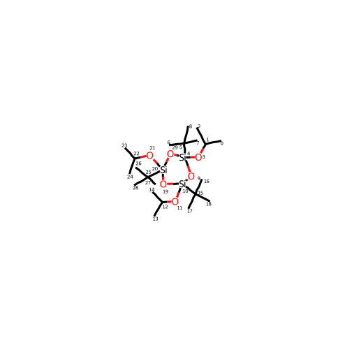 CC(C)O[Si]1(C(C)(C)C)O[Si](OC(C)C)(C(C)(C)C)O[Si](OC(C)C)(C(C)(C)C)O1